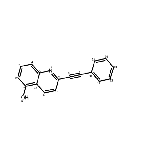 Oc1cccc2nc(C#Cc3ccccc3)ccc12